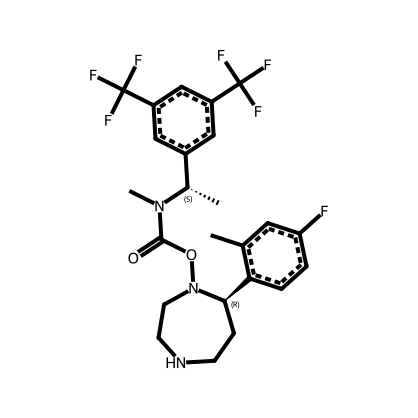 Cc1cc(F)ccc1[C@H]1CCNCCN1OC(=O)N(C)[C@@H](C)c1cc(C(F)(F)F)cc(C(F)(F)F)c1